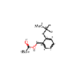 CSC(C)(C)Cc1ccccc1COC(=O)C(C)(C)C